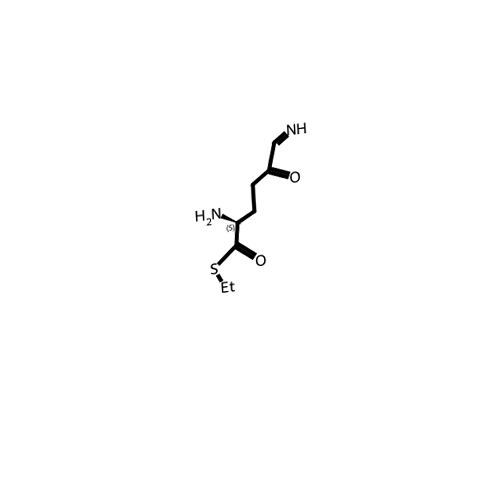 CCSC(=O)[C@@H](N)CCC(=O)C=N